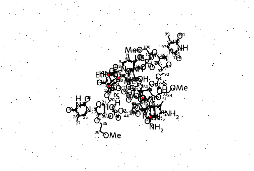 CC[C@H]1O[C@@H](n2cc(C)c(=O)[nH]c2=O)C[C@H]1OP(=O)(S)OC[C@H]1O[C@@H](n2cc(C)c(=O)[nH]c2=O)C(OCCOC)[C@H]1OP(=O)(O)OC[C@H]1O[C@@H](n2cc(C)c(N)nc2=O)C(OCCOC)[C@H]1OP(=O)(O)OC[C@H]1O[C@@H](n2cc(C)c(N)nc2=O)C(OCCOC)[C@H]1OP(=O)(S)OC[C@H]1O[C@@H](n2cc(C)c(=O)[nH]c2=O)C(OCCOC)[C@H]1OP(=O)(S)OC[C@H]1O[C@@H](n2cc(C)c(=O)[nH]c2=O)C(OCCOC)[C@H]1O